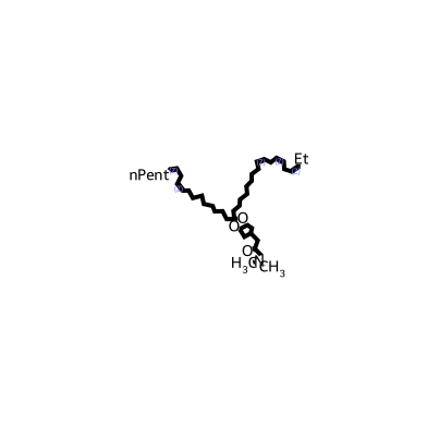 CC/C=C\C/C=C\C/C=C\CCCCCCCCC1(CCCCCCCC/C=C\C/C=C\CCCCC)OC2CC(CC(=O)CN(C)C)CC2O1